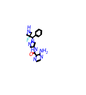 Nc1nccnc1C(=O)Nc1cnn(C(c2ccccc2)C2(F)CNC2)c1